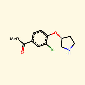 COC(=O)c1ccc(O[C@H]2CCNC2)c(Br)c1